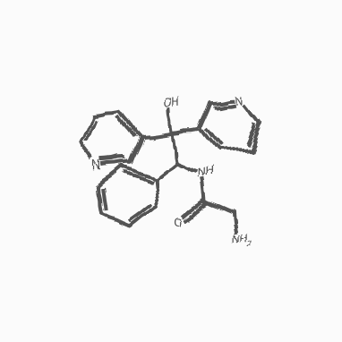 NCC(=O)NC(c1ccccc1)C(O)(c1cccnc1)c1cccnc1